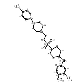 CC(C)(C)c1ccc(N2CCN(CCS(=O)(=O)N3CCC(Nc4ccc([N+](=O)[O-])c(C(F)(F)F)c4)CC3)CC2)cc1